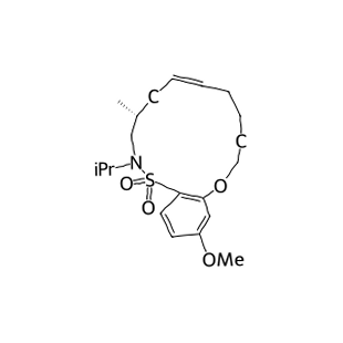 COc1ccc2c(c1)OCCCC/C=C\C[C@@H](C)CN(C(C)C)S2(=O)=O